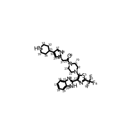 C[C@@H]1CN(c2sc(C(F)(F)F)nc2-c2nc3ccccc3[nH]2)CCN1C(=O)Cn1cc(C2CCNCC2)cn1